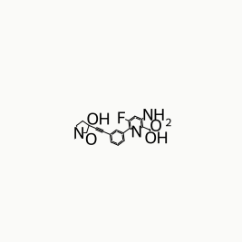 CN1CC[C@@](O)(C#Cc2cccc(-c3nc(C(=O)O)c(N)cc3F)c2)C1=O